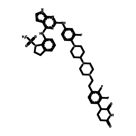 CS(=O)(=O)N1CCc2cccc(Nc3nc(Nc4ccc(N5CCC(N6CCN(CCc7ccc(C8CCC(=O)NC8=O)c(F)c7F)CC6)CC5)c(F)c4)nc4[nH]ccc34)c21